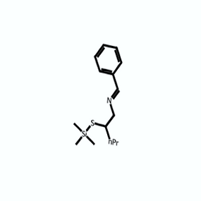 CCCC(CN=Cc1ccccc1)S[Si](C)(C)C